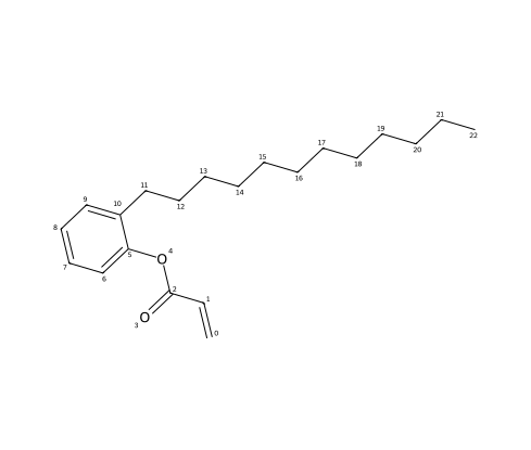 C=CC(=O)Oc1ccccc1CCCCCCCCCCCC